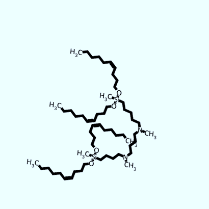 CCCCC/C=C\CCCO[Si](C)(CCCCCN(C)CCCCN(C)CCCC[Si](C)(OCCC/C=C\CCCCC)OCCC/C=C\CCCCC)OCCC/C=C\CCCCC